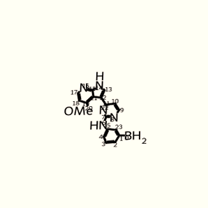 Bc1cccc(Nc2nccc(-c3c[nH]c4nccc(OC)c34)n2)c1